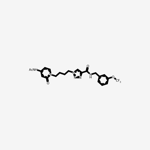 CC(=O)Nc1ccn(CCCCn2cc(C(=O)NCc3cccc(OC(F)(F)F)c3)nn2)c(=O)c1